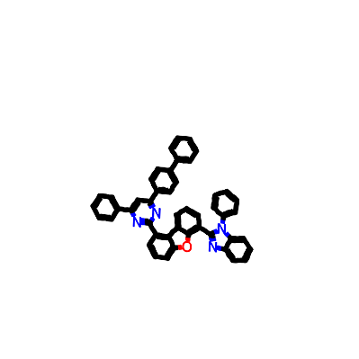 c1ccc(-c2ccc(-c3cc(-c4ccccc4)nc(-c4cccc5oc6c(-c7nc8ccccc8n7-c7ccccc7)cccc6c45)n3)cc2)cc1